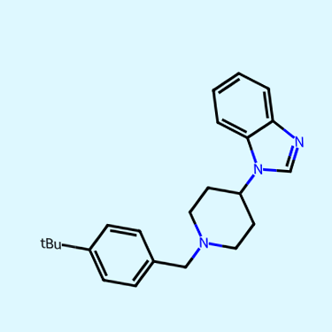 CC(C)(C)c1ccc(CN2CCC(n3cnc4ccccc43)CC2)cc1